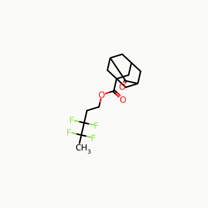 CC(F)(F)C(F)(F)CCOC(=O)C12CC3CC(C1)C(=O)C(C3)C2